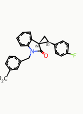 O=C(O)c1cccc(CN2C(=O)[C@]3(C[C@H]3c3ccc(F)cc3)c3ccccc32)c1